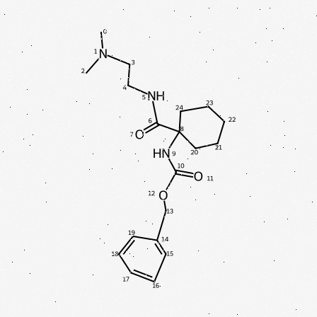 CN(C)CCNC(=O)C1(NC(=O)OCc2ccccc2)CCCCC1